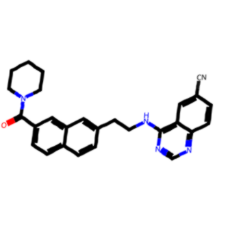 N#Cc1ccc2ncnc(NCCc3ccc4ccc(C(=O)N5CCCCC5)cc4c3)c2c1